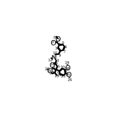 COC(=O)c1cccc(CCN(C)CCCC(C(=O)OC)(c2ccc(OC)c(OC)c2)C(C)C)c1